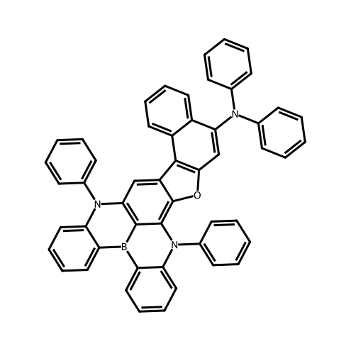 c1ccc(N2c3ccccc3B3c4ccccc4N(c4ccccc4)c4c3c2cc2c4oc3cc(N(c4ccccc4)c4ccccc4)c4ccccc4c32)cc1